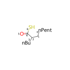 CCCCCCC(CCCC)C(=O)S